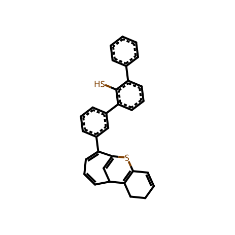 Sc1c(-c2ccccc2)cccc1-c1cccc(C2=CC=CC3C=C2SC2=C3CCC=C2)c1